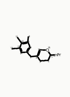 CCCC1CCC(Cc2cc(C)c(C)c(C)c2)=CO1